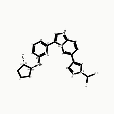 FC(F)n1cc(-c2ccc3ncc(-c4cccc(N[C@H]5CCC[C@@H]5F)n4)n3c2)cn1